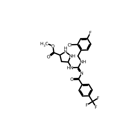 COC(=O)C1CC(N/C(=N\C(=O)c2ccc(C(F)(F)F)cc2)NCc2ccc(F)cc2Cl)NN1